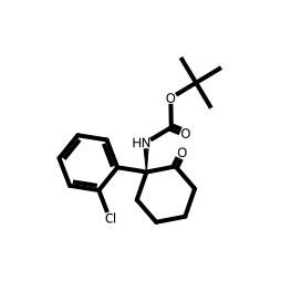 CC(C)(C)OC(=O)N[C@]1(c2ccccc2Cl)CCCCC1=O